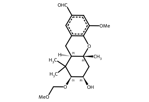 COCO[C@@H]1[C@H](O)C[C@@]2(C)Oc3c(cc(C=O)cc3OC)C[C@@H]2C1(C)C